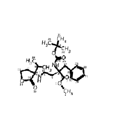 COC(=O)[C@@](CCN[C@@]1(C(C)C)CCOC1=O)(Cc1ccccc1)NC(=O)OC(C)(C)C